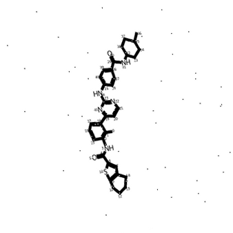 Cc1c(NC(=O)c2cc3c(s2)CCCC3)cccc1-c1ccnc(Nc2ccc(C(=O)NC3CCC(C)CC3)cc2)n1